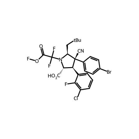 CC(C)(C)C[C@@H]1N(C(F)(F)C(=O)OF)[C@@H](C(=O)O)[C@H](c2cccc(Cl)c2F)[C@@]1(C#N)c1ccc(Br)cc1